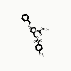 Cc1ccc(S(=O)(=O)OCC2C[C@@H](OCc3ccccc3)CN2C(=O)OC(C)(C)C)cc1